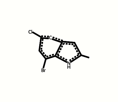 Cc1cc2cc(Cl)cc(Br)c2[nH]1